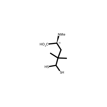 CN[C@@H](CC(C)(C)C(S)S)C(=O)O